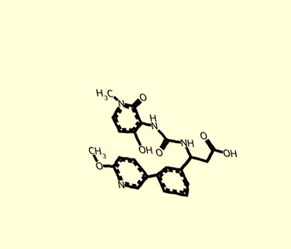 COc1ccc(-c2cccc(C(CC(=O)O)NC(=O)Nc3c(O)ccn(C)c3=O)c2)cn1